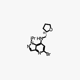 CC(C)n1ncc2nc(Br)cc(NC[C@@H]3CCCO3)c21